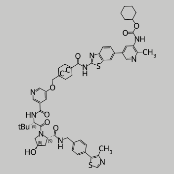 Cc1ncc(-c2ccc3nc(NC(=O)C45CCC(COc6cncc(C(=O)N[C@H](C(=O)N7C[C@H](O)C[C@H]7C(=O)NCc7ccc(-c8scnc8C)cc7)C(C)(C)C)c6)(CC4)CC5)sc3c2)cc1NC(=O)OC1CCCCC1